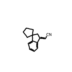 N#C/C=C1\CC2(CCCC2)c2ccccc21